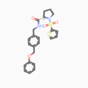 O=C(NCc1ccc(COc2ccccc2)cc1)[C@@H]1CCCN1S(=O)(=O)c1cccs1